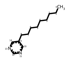 CCCCCCCCCc1cncnc1